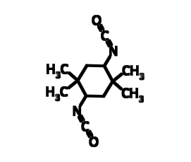 CC1(C)CC(N=C=O)C(C)(C)CC1N=C=O